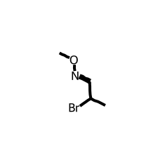 CON=CC(C)Br